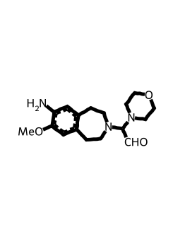 COc1cc2c(cc1N)CCN(C(C=O)N1CCOCC1)CC2